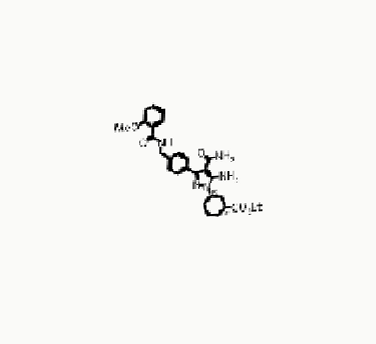 CCOC(=O)[C@H]1CCC[C@@H](n2nc(-c3ccc(CNC(=O)c4ccccc4OC)cc3)c(C(N)=O)c2N)C1